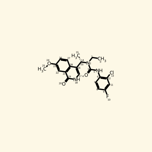 CCN(C(=O)Nc1ccc(F)cc1Cl)[C@@H](C)c1c[nH]c(=O)c2cc(OC)ccc12